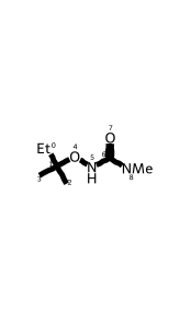 CCC(C)(C)ONC(=O)NC